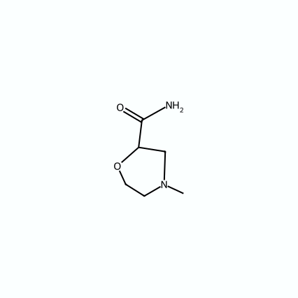 CN1CCOC(C(N)=O)C1